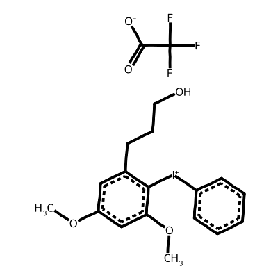 COc1cc(CCCO)c([I+]c2ccccc2)c(OC)c1.O=C([O-])C(F)(F)F